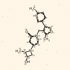 Cc1ccc(-c2noc(C)c2Cn2ncc(N3C[C@@H](O)[C@H]3C)cc2=O)cn1